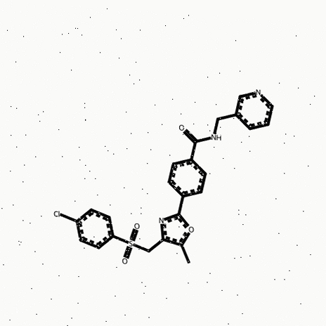 Cc1oc(-c2ccc(C(=O)NCc3cccnc3)cc2)nc1CS(=O)(=O)c1ccc(Cl)cc1